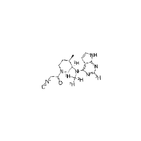 [2H]c1nc(N(C([2H])([2H])[2H])[C@@]2([2H])CN(C(=O)C[N+]#[C-])CC[C@H]2C)c2cc[nH]c2n1